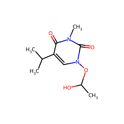 CC(O)On1cc(C(C)C)c(=O)n(C)c1=O